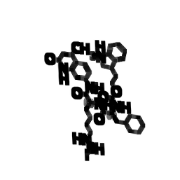 Cc1cc(=O)[nH]c2cc(NC(=O)[C@H](CCCCNBI)NC(=O)[C@H](CC3CCCCC3)NC(=O)OCCC3CNc4ccccc43)ccc12